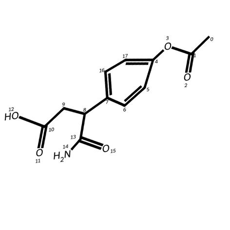 CC(=O)Oc1ccc(C(CC(=O)O)C(N)=O)cc1